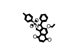 CCOc1cc2c(c3c1C(c1ccccc1)N(S(=O)(=O)c1ccc(C)cc1)C3)C(=O)C=CC2=O